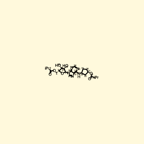 CC(C)C(=O)OC[C@H]1OC(n2cnc3c(NC4CC[C@@H](OC(=O)C(C)C)C4)ncnc32)[C@H](O)[C@@H]1O